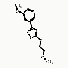 COCCSc1nc(-c2cccc(OC)c2)ns1